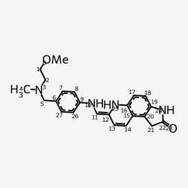 COCCN(C)Cc1ccc(N/C=C2/C=Cc3c(ccc4c3CC(=O)N4)N2)cc1